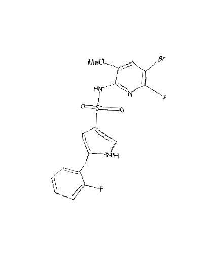 COc1cc(Br)c(F)nc1NS(=O)(=O)c1c[nH]c(-c2ccccc2F)c1